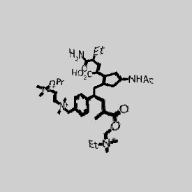 CCC[N+](C)(C)CC[N+](C)(C)Cc1ccc(C(CC(C)C(=O)OC[N+](C)(C)CC)CC2CC(NC(C)=O)CC2C(CC(CC)C(N)=O)C(=O)O)cc1